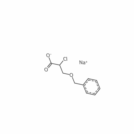 O=C([O-])C(Cl)COCc1ccccc1.[Na+]